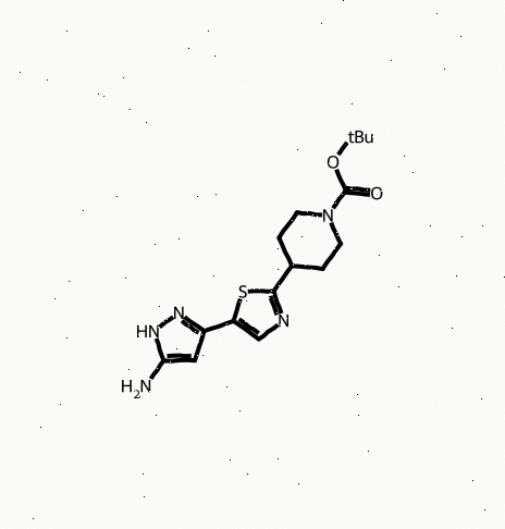 CC(C)(C)OC(=O)N1CCC(c2ncc(-c3cc(N)[nH]n3)s2)CC1